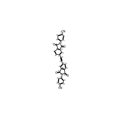 N#Cc1ccc(N2C(=O)c3ccc(C#Cc4ccc5c(c4)C(=O)N(c4ccc(C#N)cc4)C5=O)cc3C2=O)cc1